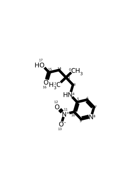 CC(C)(CNc1ccncc1[N+](=O)[O-])CC(=O)O